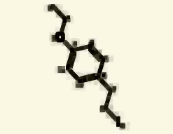 CCOc1ccc(CCI)cc1